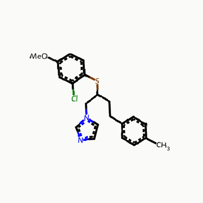 COc1ccc(SC(CCc2ccc(C)cc2)Cn2ccnc2)c(Cl)c1